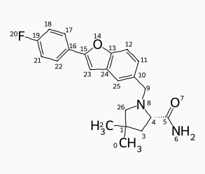 CC1(C)C[C@@H](C(N)=O)N(Cc2ccc3oc(-c4ccc(F)cc4)cc3c2)C1